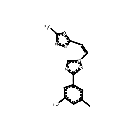 Cc1cc(O)cc(-c2ncn(/C=C\c3nnc(C(F)(F)F)o3)n2)c1